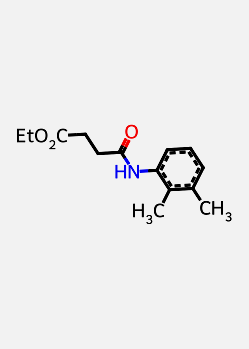 CCOC(=O)CCC(=O)Nc1cccc(C)c1C